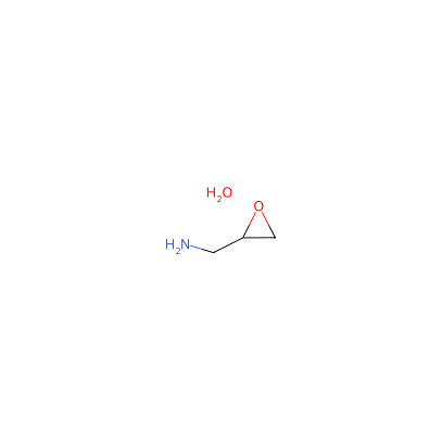 NCC1CO1.O